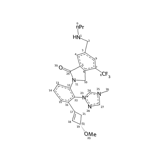 CCCNCc1cc2c(c(C(F)(F)F)c1)CN(c1cccc(C3=C[C@@H](OC)C3)c1-[n+]1cn(C)cn1)C2=O